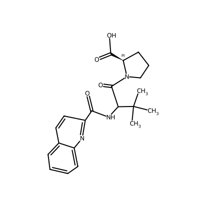 CC(C)(C)C(NC(=O)c1ccc2ccccc2n1)C(=O)N1CCC[C@@H]1C(=O)O